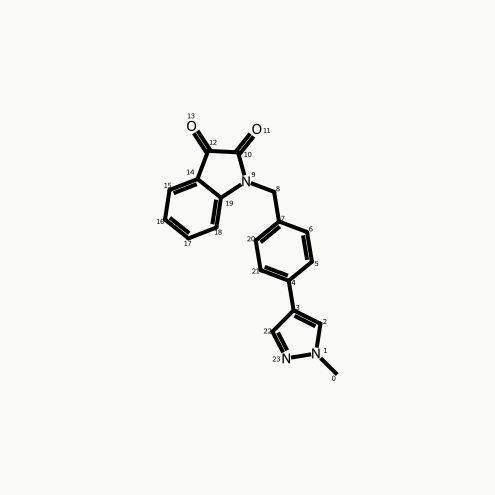 Cn1cc(-c2ccc(CN3C(=O)C(=O)c4ccccc43)cc2)cn1